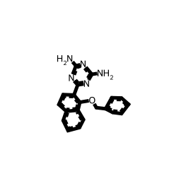 Nc1nc(N)nc(-c2ccc3ccccc3c2OCc2ccccc2)n1